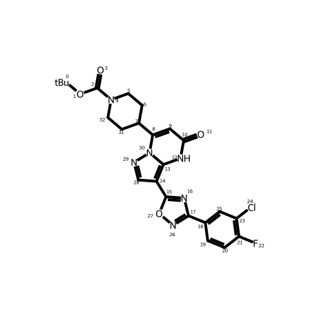 CC(C)(C)OC(=O)N1CCC(c2cc(=O)[nH]c3c(-c4nc(-c5ccc(F)c(Cl)c5)no4)cnn23)CC1